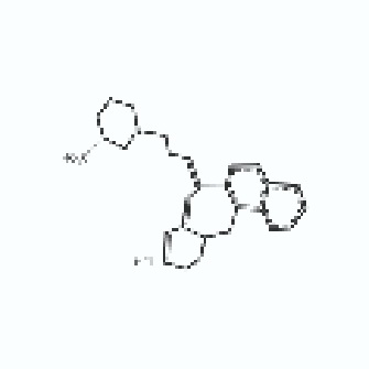 Cl.O=C(O)[C@@H]1CCCN(CCC=C2C=C3C=CCCC3Cc3c2ccc2ccccc32)C1